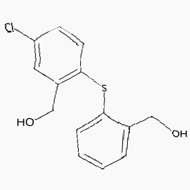 OCc1ccccc1Sc1ccc(Cl)cc1CO